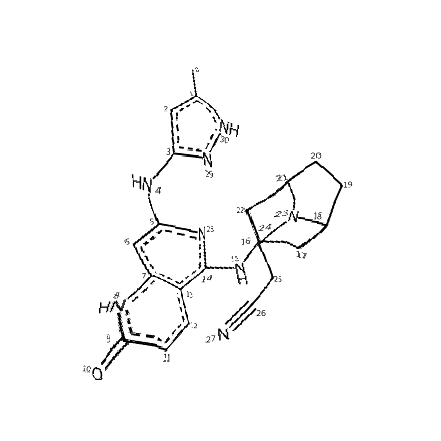 Cc1cc(Nc2cc3[nH]c(=O)ccc3c(NC3CC4CCC(C3)N4CCC#N)n2)n[nH]1